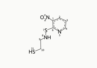 O=[N+]([O-])c1cccnc1SNCCS